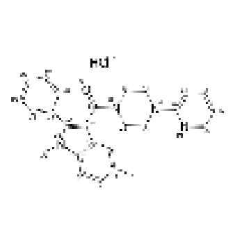 Cc1ccc2c(c1)c(C(=O)N1CCN(c3ccccn3)CC1)c(-c1ccccc1)n2C.Cl